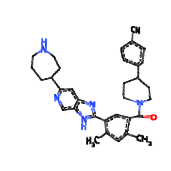 Cc1cc(C)c(-c2nc3cc(C4CCCNCC4)ncc3[nH]2)cc1C(=O)N1CCC(c2ccc(C#N)cc2)CC1